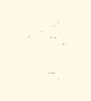 C[C@H](CCCNC(=N)N)NC(=O)[C@@H](N)CCCNC(=N)N